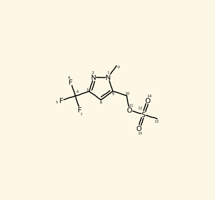 Cn1nc(C(F)(F)F)cc1COS(C)(=O)=O